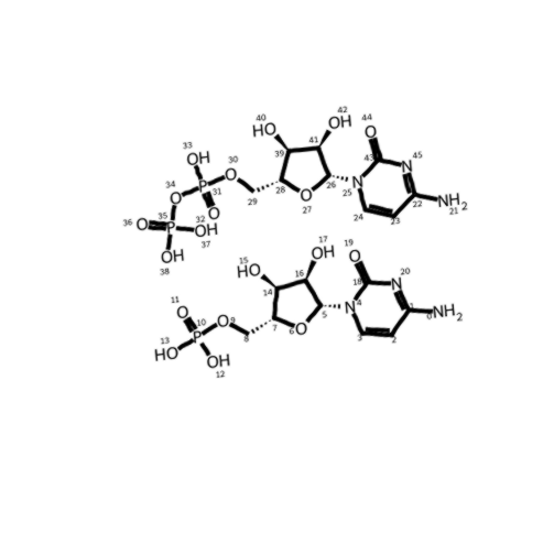 Nc1ccn([C@@H]2O[C@H](COP(=O)(O)O)[C@@H](O)[C@H]2O)c(=O)n1.Nc1ccn([C@@H]2O[C@H](COP(=O)(O)OP(=O)(O)O)[C@@H](O)[C@H]2O)c(=O)n1